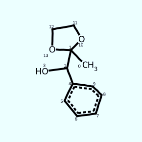 CC1(C(O)c2ccccc2)OCCO1